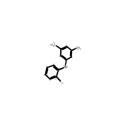 Cc1cc(C)cc(Nc2ccccc2I)c1